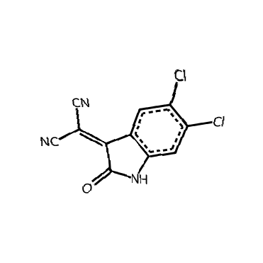 N#CC(C#N)=C1C(=O)Nc2cc(Cl)c(Cl)cc21